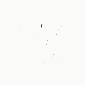 CCCC(C)(CC)CC(NC(C)(C)C)[C@H](C)CC(C)(C)C